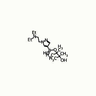 CCN(CC)CCn1cc(B(O)OC(C)(C)C(C)(C)O)cn1